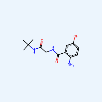 CC(C)(C)NC(=O)CNC(=O)c1cc(O)ccc1N